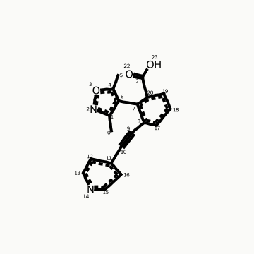 Cc1noc(C)c1-c1c(C#Cc2ccncc2)cccc1C(=O)O